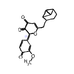 COC1=C/C(=C2\OC(CC3CCC4C5C3C45)=CC(=O)C2=O)C=CC1=O